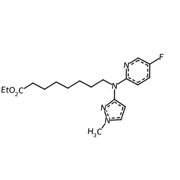 CCOC(=O)CCCCCCCN(c1ccc(F)cn1)c1ccn(C)n1